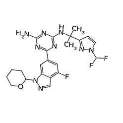 CC(C)(Nc1nc(N)nc(-c2cc(F)c3cnn(C4CCCCO4)c3c2)n1)c1ccn(C(F)F)n1